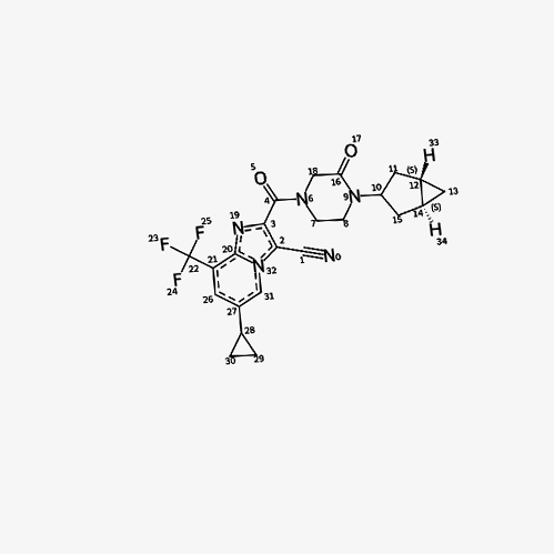 N#Cc1c(C(=O)N2CCN(C3C[C@@H]4C[C@H]4C3)C(=O)C2)nc2c(C(F)(F)F)cc(C3CC3)cn12